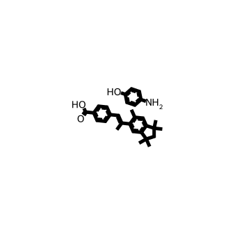 CC(=Cc1ccc(C(=O)O)cc1)c1cc2c(cc1C)C(C)(C)CC2(C)C.Nc1ccc(O)cc1